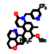 Cc1cc2c(ccc(=O)n2Cc2cncc(C(F)(F)F)c2)c(-c2ccc3c4c(ccnc24)CCO3)c1C(OC(C)(C)C)C(=O)O